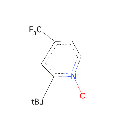 CC(C)(C)c1cc(C(F)(F)F)cc[n+]1[O-]